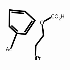 CC(=O)c1ccccc1.CC(C)CCOC(=O)O